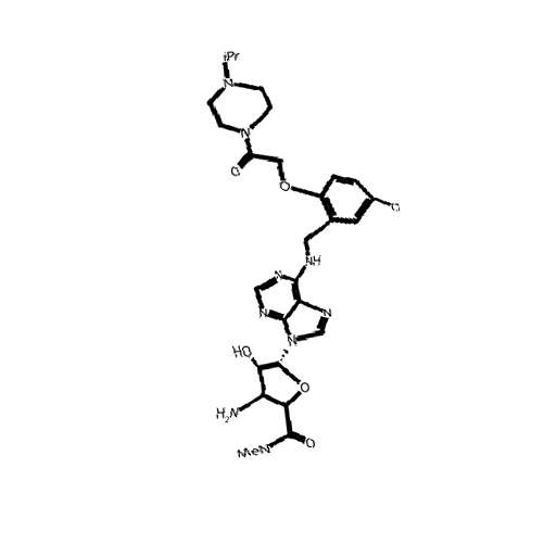 CNC(=O)C1O[C@@H](n2cnc3c(NCc4cc(Cl)ccc4OCC(=O)N4CCN(C(C)C)CC4)ncnc32)[C@H](O)C1N